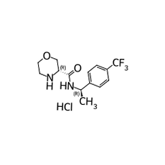 C[C@@H](NC(=O)[C@H]1COCCN1)c1ccc(C(F)(F)F)cc1.Cl